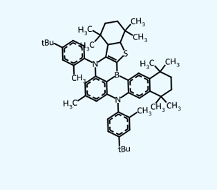 Cc1cc2c3c(c1)N(c1ccc(C(C)(C)C)cc1C)c1cc4c(cc1B3C1=C(C3C(S1)C(C)(C)CCC3(C)C)N2c1ccc(C(C)(C)C)cc1C)C(C)(C)CCC4(C)C